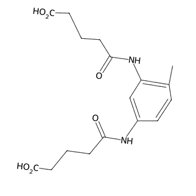 Cc1ccc(NC(=O)CCCC(=O)O)cc1NC(=O)CCCC(=O)O